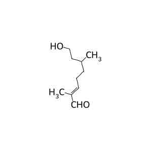 C/C(C=O)=C\CCC(C)CCO